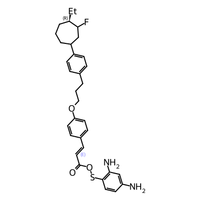 CC[C@@H]1CCCC(c2ccc(CCCOc3ccc(/C=C/C(=O)OSc4ccc(N)cc4N)cc3)cc2)CC1F